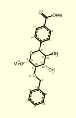 COC(=O)c1ccc([C@@H]2O[C@@H](OC)[C@H](OCc3ccccc3)[C@@H](O)[C@@H]2O)cc1